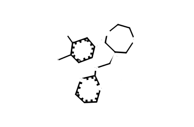 Cl.Fc1cc([C@@H]2OCCNC[C@H]2CNc2ncccn2)ccc1Cl